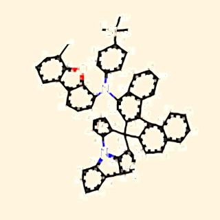 Cc1cccc2c1oc1c(N(c3ccc([Si](C)(C)C)cc3)c3cc4c(c5ccccc35)-c3c(ccc5ccccc35)C43c4ccccc4-n4c5ccccc5c5cccc3c54)cccc12